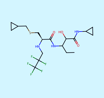 CCC(NC(=O)[C@H](CSCC1CC1)NCC(F)(F)C(F)(F)F)C(O)C(=O)NC1CC1